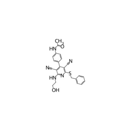 CC(=O)Nc1ccc(-c2c(C#N)c(NCCO)nc(SCc3ccccc3)c2C#N)cc1